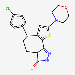 O=C1NN=C2c3sc(N4CCOCC4)cc3C(c3ccc(Cl)cc3)CCC12